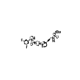 CC(C)(C)OC(=O)NCC#Cc1ccnc(N2CCN(C(=O)N3N=CCC3c3cc(F)cc(F)c3)CC2)n1